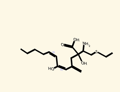 C=C(/C=C(O)\C=C/CCCC)CC(O)(C(=O)O)C(N)CSCC